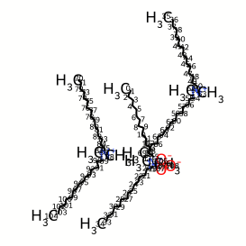 CCCCCCCCCCCCCCCC[N+](C)(C)CCCCCCCCCCCCCCCC.CCCCCCCCCCCCCCCC[N+](C)(C)CCCCCCCCCCCCCCCC.CCCCCCCCCCCCCCCC[N+](C)(C)CCCCCCCCCCCCCCCC.[O-]B([O-])[O-]